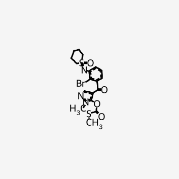 CSC(=O)Oc1c(C(=O)c2cccc(N=S3(=O)CCCCC3)c2Br)cnn1C